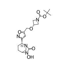 CC(C)(C)OC(=O)N1CC(OCc2cc([C@@H]3CCC4CN3C(=O)N4O)no2)C1